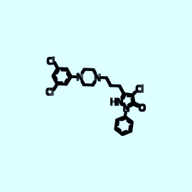 O=c1c(Cl)c(CCCN2CCN(c3cc(Cl)cc(Cl)c3)CC2)[nH]n1-c1ccccc1